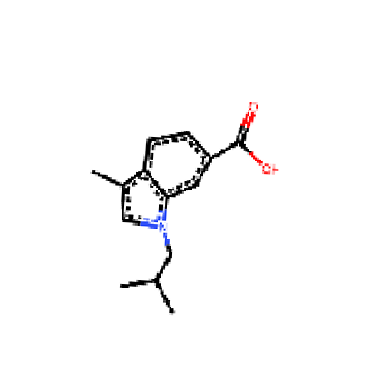 Cc1cn(CC(C)C)c2cc(C(=O)O)ccc12